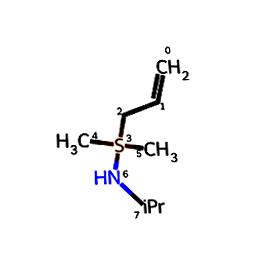 C=CCS(C)(C)NC(C)C